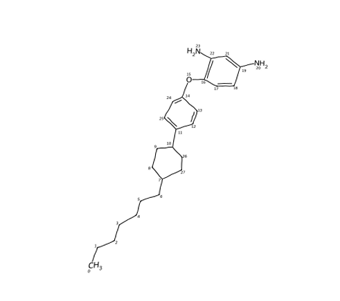 CCCCCCCC1CCC(c2ccc(Oc3ccc(N)cc3N)cc2)CC1